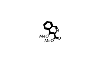 COC(=O)c1ncc2ccccc2c1OC